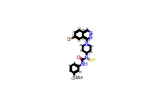 CSc1cccc(NC(=O)N(S)C2CCN(c3nncc4ccc(Br)cc34)CC2)c1